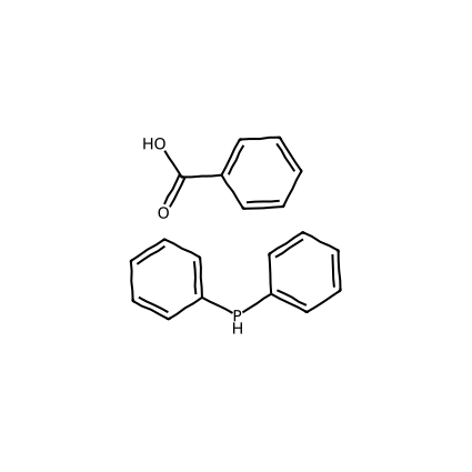 O=C(O)c1ccccc1.c1ccc(Pc2ccccc2)cc1